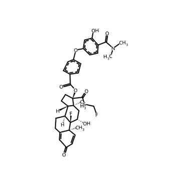 CN(C)C(=O)c1ccc(Oc2ccc(C(=O)O[C@]3(C(=O)SCF)CC[C@H]4[C@@H]5CCC6=CC(=O)C=C[C@]6(C)[C@@]5(F)[C@@H](O)C[C@@]43C)cc2)cc1O